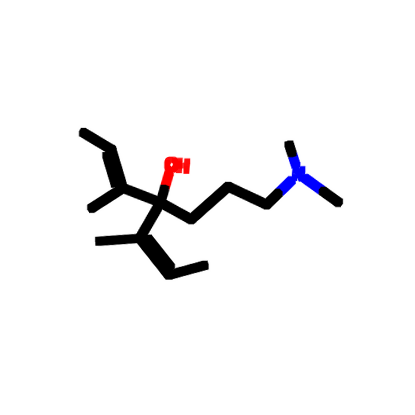 C/C=C(/C)C(O)(CCCN(C)C)/C(C)=C/C